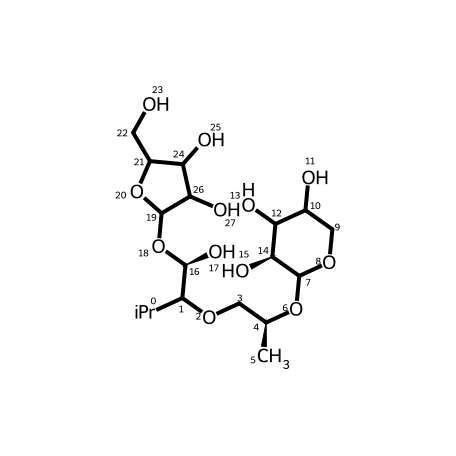 CC(C)C(OC[C@H](C)OC1OCC(O)C(O)[C@@H]1O)[C@H](O)OC1OC(CO)C(O)C1O